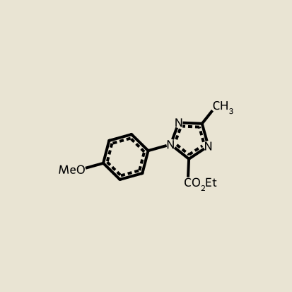 CCOC(=O)c1nc(C)nn1-c1ccc(OC)cc1